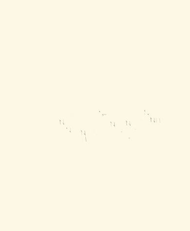 Cc1ccc(Nc2ccc3c(c2)ncn3-c2cc[c]c(-c3c(C)n[nH]c3CC3CC3)n2)nn1